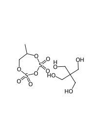 CC1COS(=O)(=O)OS(=O)(=O)O1.OCC(CO)(CO)CO